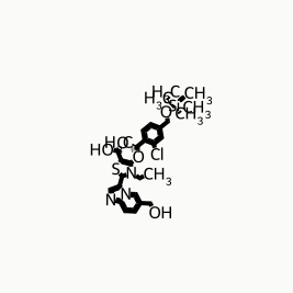 CCN1C(O[C@H](C)c2ccc(CO[Si](C)(C)C(C)(C)C)cc2Cl)=C(C(=O)O)SC1c1cnc2ccc(CO)cn12